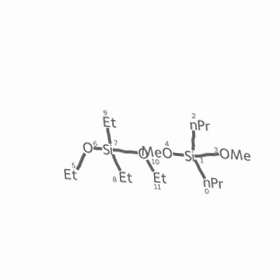 CCC[Si](CCC)(OC)OC.CCO[Si](CC)(CC)OCC